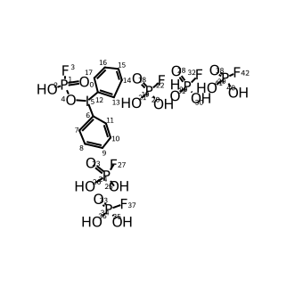 O=P(O)(F)OI(c1ccccc1)c1ccccc1.O=P(O)(O)F.O=P(O)(O)F.O=P(O)(O)F.O=P(O)(O)F.O=P(O)(O)F